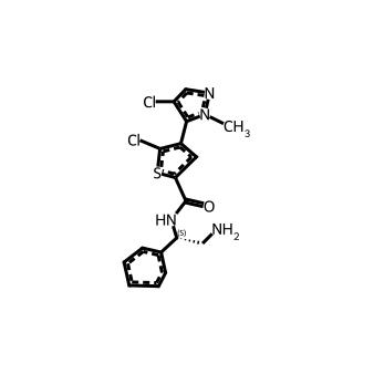 Cn1ncc(Cl)c1-c1cc(C(=O)N[C@H](CN)c2ccccc2)sc1Cl